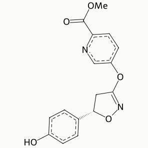 COC(=O)c1ccc(OC2=NO[C@H](c3ccc(O)cc3)C2)cn1